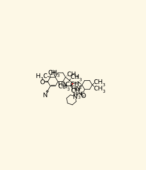 C=C(C)/C=C1/[C@@]2(C)C=C(C#N)C(=O)C(C)(C)[C@@H]2CC[C@@]1(C)C(C)(C)CC[C@@]1(NC(=O)N2CCCCC2)CCC(C)(C)CC1C